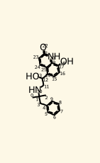 CC(C)(Cc1ccccc1)NCC(O)c1ccc(O)c2[nH]c(=O)ccc12